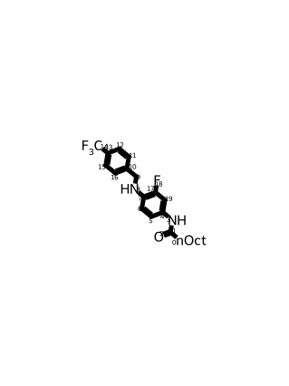 CCCCCCCCC(=O)Nc1ccc(NCc2ccc(C(F)(F)F)cc2)c(F)c1